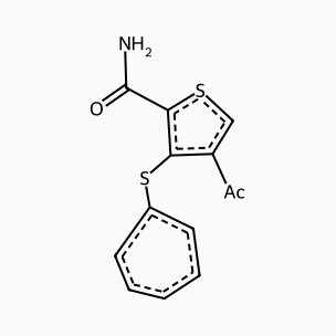 CC(=O)c1csc(C(N)=O)c1Sc1ccccc1